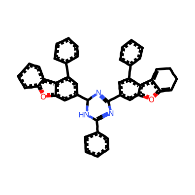 C1=c2oc3cc(C4=NC(c5cc(-c6ccccc6)c6c(c5)oc5ccccc56)NC(c5ccccc5)=N4)cc(-c4ccccc4)c3c2=CCC1